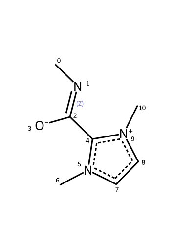 C/N=C(\[O-])c1n(C)cc[n+]1C